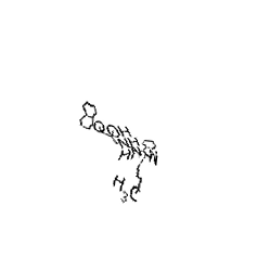 C/C=C\C=C/c1cnc2ccccc2c1NCCNCC(O)COc1cccc2ccccc12